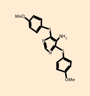 COc1ccc(Sc2ncnc(Sc3ccc(OC)cc3)c2N)cc1